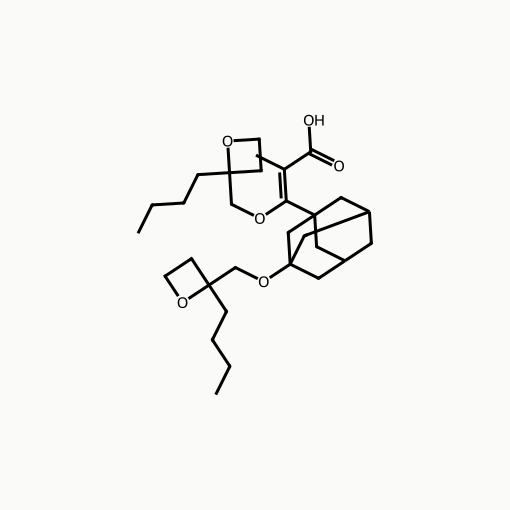 CCCCC1(COC(=C(C)C(=O)O)C23CC4CC(CC(OCC5(CCCC)CCO5)(C4)C2)C3)CCO1